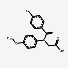 COc1ccc(N(CC(=O)O)C(=O)c2ccc(Cl)cc2)cc1